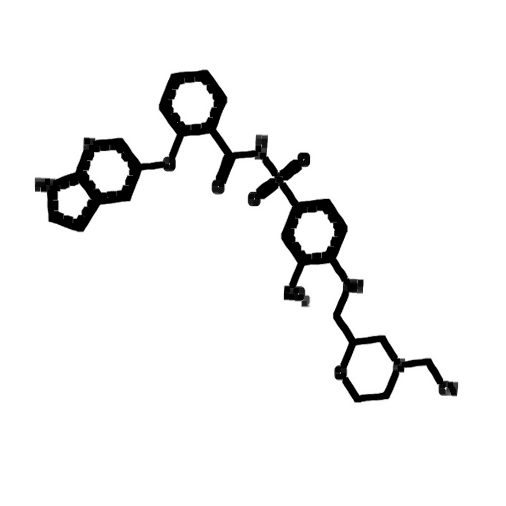 N#CCN1CCOC(CNc2ccc(S(=O)(=O)NC(=O)c3ccccc3Oc3cnc4[nH]ccc4c3)cc2[N+](=O)[O-])C1